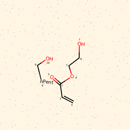 C=CC(=O)OCCO.CCCCCCO